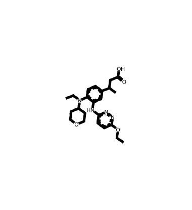 CCOc1ccc(Nc2cc(C(C)CC(=O)O)ccc2N(CC)C2CCOCC2)nn1